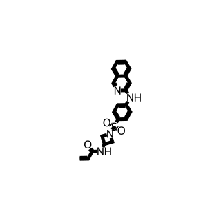 C=CC(=O)NC1CN(S(=O)(=O)c2ccc(Nc3cc4ccccc4cn3)cc2)C1